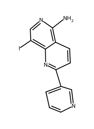 Nc1ncc(I)c2nc(-c3cccnc3)ccc12